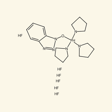 F.F.F.F.F.F.c1ccc2c(c1)nnn2O[PH](N1CCCC1)(N1CCCC1)N1CCCC1